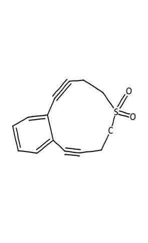 O=S1(=O)CCC#Cc2ccccc2C#CCC1